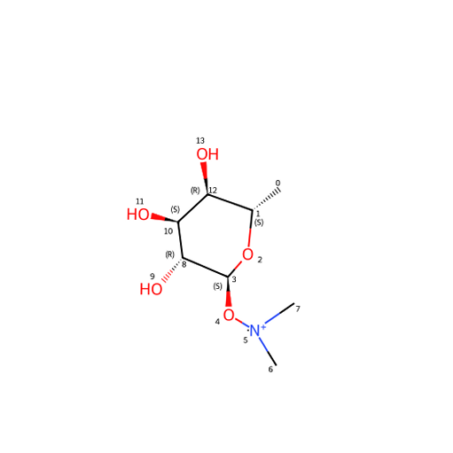 C[C@@H]1O[C@@H](O[N+](C)C)[C@H](O)[C@@H](O)[C@H]1O